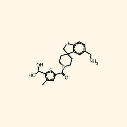 Cc1cc(C(=O)N2CCC3(CC2)COc2ccc(CN)cc23)sc1C(O)O